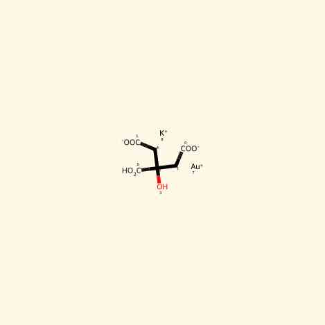 O=C([O-])CC(O)(CC(=O)[O-])C(=O)O.[Au+].[K+]